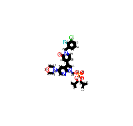 CC(C)COP(=O)(OCC(C)C)OCn1cc(-c2ccn(Cc3cccc(Cl)c3F)c(=O)c2)c2cc(N3CCOCC3)cnc21